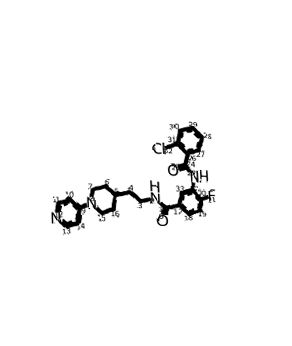 O=C(NCCC1CCN(c2ccncc2)CC1)c1ccc(F)c(NC(=O)c2ccccc2Cl)c1